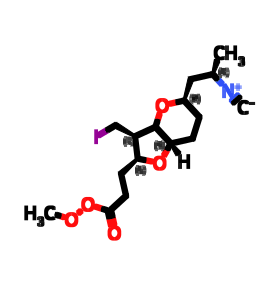 [C-]#[N+][C@H](C)C[C@H]1CC[C@@H]2O[C@@H](CCC(=O)OOC)[C@@H](CI)C2O1